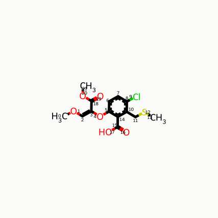 COC=C(Oc1ccc(Cl)c(CSC)c1C(=O)O)C(=O)OC